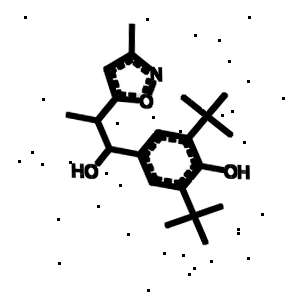 Cc1cc(C(C)C(O)c2cc(C(C)(C)C)c(O)c(C(C)(C)C)c2)on1